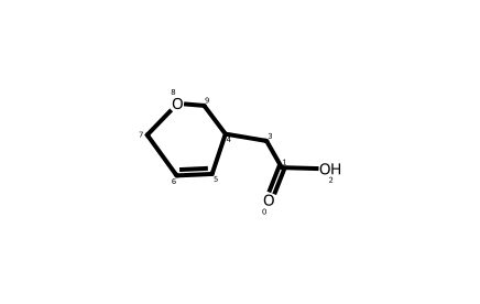 O=C(O)CC1C=CCOC1